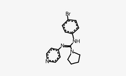 Brc1ccc(NC(=Nc2ccncc2)N2CCCC2)cc1